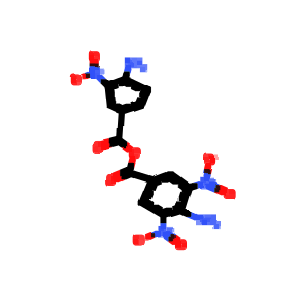 Nc1ccc(C(=O)OC(=O)c2cc([N+](=O)[O-])c(N)c([N+](=O)[O-])c2)cc1[N+](=O)[O-]